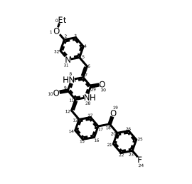 CCOc1ccc(C=c2[nH]c(=O)c(=Cc3cccc(C(=O)c4ccc(F)cc4)c3)[nH]c2=O)nc1